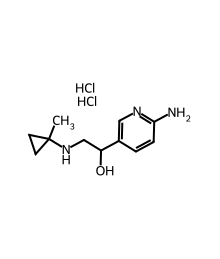 CC1(NCC(O)c2ccc(N)nc2)CC1.Cl.Cl